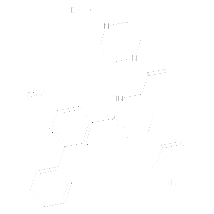 CCOC(=O)N1CCN(C(=O)[C@H](CCC(=O)OC(C)(C)C)NC(=O)c2cc(OC)nc(-c3ccccc3)n2)CC1